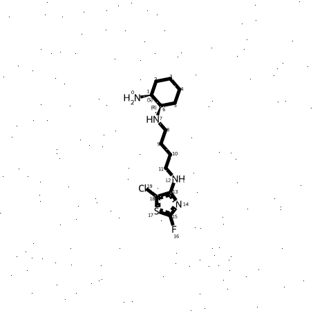 N[C@H]1CCCC[C@H]1NCCCCNc1nc(F)sc1Cl